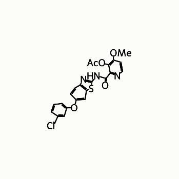 COc1ccnc(C(=O)Nc2nc3ccc(Oc4cccc(Cl)c4)cc3s2)c1OC(C)=O